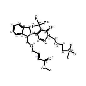 COC(=O)/C=C/COCC1c2ccccc2CN1c1cnn(COCC[Si](C)(C)C)c(=O)c1C(F)(F)F